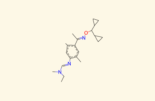 CCN(C)C=Nc1cc(C)c(/C(C)=N/OC(C2CC2)C2CC2)cc1C